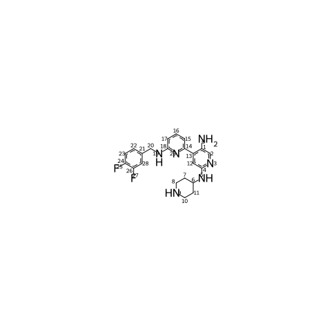 Nc1cnc(NC2CCNCC2)cc1-c1cccc(NCc2ccc(F)c(F)c2)n1